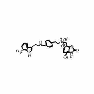 Cc1cccc2c(CCNCc3ccc(CCNC(O)(O)Cc4ccc(O)c5[nH]c(=O)sc45)cc3)c[nH]c12